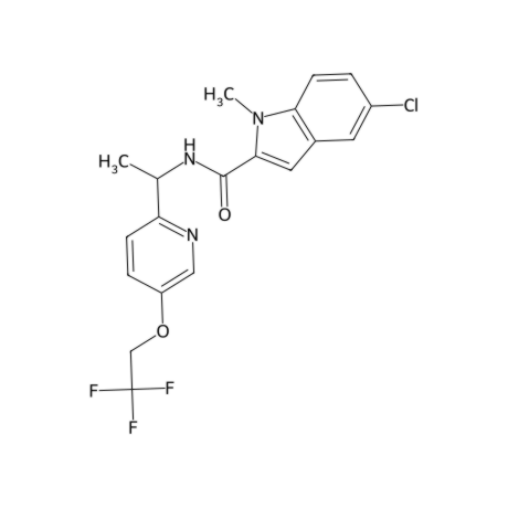 CC(NC(=O)c1cc2cc(Cl)ccc2n1C)c1ccc(OCC(F)(F)F)cn1